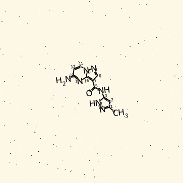 Cc1cc(NC(=O)c2cnn3ccc(N)nc23)[nH]n1